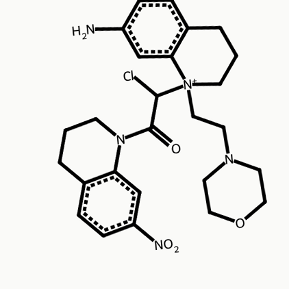 Nc1ccc2c(c1)[N+](CCN1CCOCC1)(C(Cl)C(=O)N1CCCc3ccc([N+](=O)[O-])cc31)CCC2